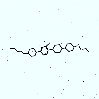 CCCCCC1CCC(c2ccc(C3CCC(C4CCC(OCCC)CC4)CC3)c(F)c2)CC1